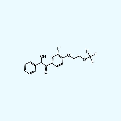 O=C(c1ccc(OCCOC(F)(F)F)c(F)c1)C(O)c1ccccc1